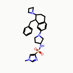 Cn1cnc(S(=O)(=O)NC2CCN(c3ccc4c(c3)C(Cc3ccccc3)C(N3CCC3)CC4)C2)c1